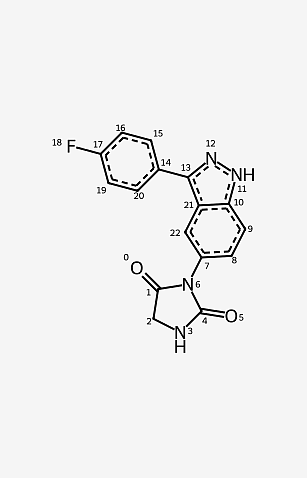 O=C1CNC(=O)N1c1ccc2[nH]nc(-c3ccc(F)cc3)c2c1